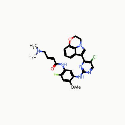 COc1cc(F)c(NC(=O)C=CCN(C)C)cc1Nc1ncc(Cl)c(-c2cn3c4c(cccc24)OCC3)n1